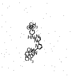 CN1CC[C@@](O)(c2cc(-c3cccc(-c4ccnc(NC5CCN(S(C)(=O)=O)CC5)n4)n3)no2)C1=O